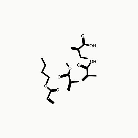 C=C(C)C(=O)O.C=C(C)C(=O)OC.C=C(CC)C(=O)O.C=CC(=O)OCCCC